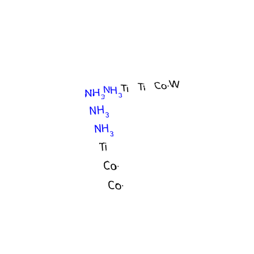 N.N.N.N.[Co].[Co].[Co].[Ti].[Ti].[Ti].[W]